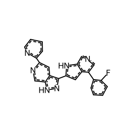 Fc1ccccc1-c1cncc2[nH]c(-c3n[nH]c4cnc(-c5ccccn5)cc34)cc12